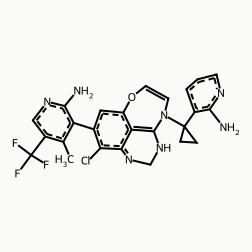 Cc1c(C(F)(F)F)cnc(N)c1-c1cc2c3c(c1Cl)=NCNC=3N(C1(c3cccnc3N)CC1)C=CO2